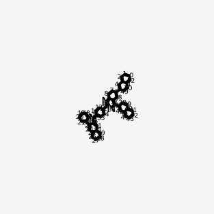 c1ccc2cc(-c3ccc4nc(-c5ccc(-n6c7ccccc7c7cc8ccccc8cc76)cc5)nc(-c5ccc6ccccc6c5)c4c3)ccc2c1